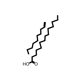 C=CCCCCCCCC.CCCCCCCCCCCCCC(=O)O